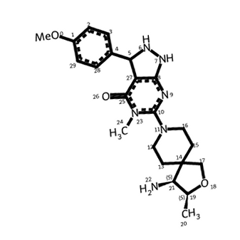 COc1ccc(C2NNc3nc(N4CCC5(CC4)CO[C@@H](C)[C@H]5N)n(C)c(=O)c32)cc1